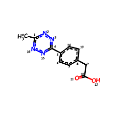 Cc1nnc(-c2ccc(CC(=O)O)cc2)nn1